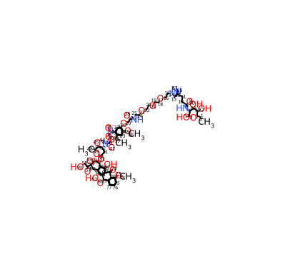 CCC1OC(O)C(NC(=O)CCc2cn(CCOCCOCCOCCNC(=O)COc3cc([N+](=O)[O-])c(C(C)OC(=O)N4COC5C(C)OC(OC6CC(O)(C(=O)CO)Cc7c(O)c8c(c(O)c76)C(=O)c6c(OC)cccc6C8=O)CC54)cc3OC)nn2)C(O)C1O